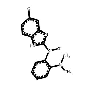 CN(C)c1ccccc1[S+]([O-])c1nc2cc(Cl)ccc2[nH]1